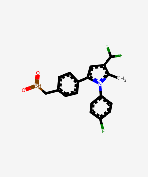 Cc1c(C(F)F)cc(-c2ccc(C[SH](=O)=O)cc2)n1-c1ccc(F)cc1